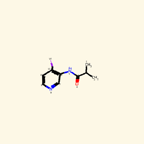 CC(C)C(=O)Nc1cnccc1I